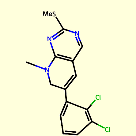 CSc1ncc2c(n1)N(C)CC(c1cccc(Cl)c1Cl)=C2